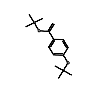 C=C(O[Si](C)(C)C)c1ccc(O[Si](C)(C)C)cc1